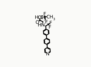 CC(C)(F)C[C@H](N[C@@H](c1ccc(-c2ccc(-c3ccncc3)cc2)cc1)C(F)(F)F)C(=O)O